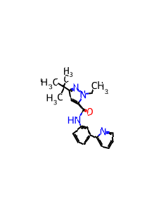 CCn1nc(C(C)(C)C)cc1C(=O)Nc1cccc(-c2ccccn2)c1